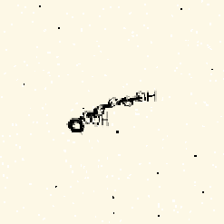 OCCOCCOCCOCC(O)COCc1ccccc1